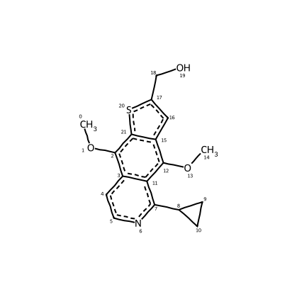 COc1c2ccnc(C3CC3)c2c(OC)c2cc(CO)sc12